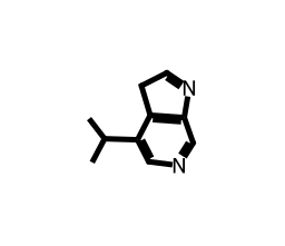 CC(C)c1cncc2c1CC=N2